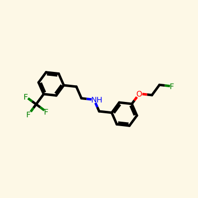 FCCOc1cccc(CNCCc2cccc(C(F)(F)F)c2)c1